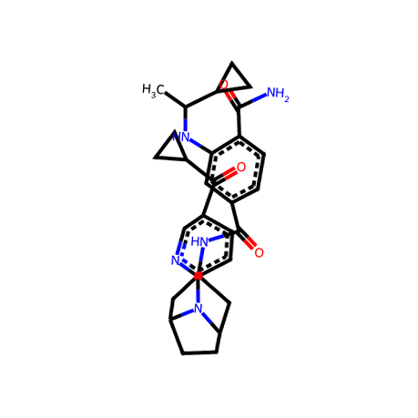 CC(Nc1cc(C(=O)NC2CC3CCC(C2)N3c2ccc(C(=O)C3CC3)cn2)ccc1C(N)=O)C1CC1